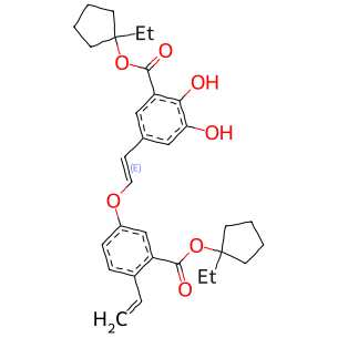 C=Cc1ccc(O/C=C/c2cc(O)c(O)c(C(=O)OC3(CC)CCCC3)c2)cc1C(=O)OC1(CC)CCCC1